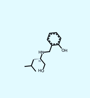 CC(C)C[C@@H](CO)NCc1ccccc1O